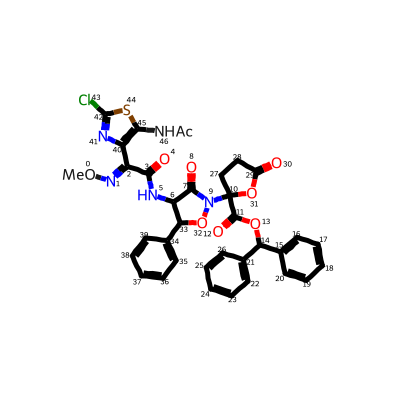 CON=C(C(=O)NC1C(=O)N(C2(C(=O)OC(c3ccccc3)c3ccccc3)CCC(=O)O2)OC1c1ccccc1)c1nc(Cl)sc1NC(C)=O